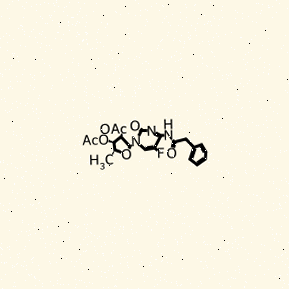 CC(=O)O[C@@H]1[C@H](OC(C)=O)[C@@H](C)O[C@H]1n1cc(F)c(NC(=O)Cc2ccccc2)nc1=O